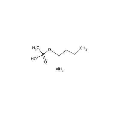 CCCCOP(C)(=O)O.[AlH3]